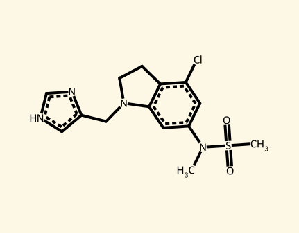 CN(c1cc(Cl)c2c(c1)N(Cc1c[nH]cn1)CC2)S(C)(=O)=O